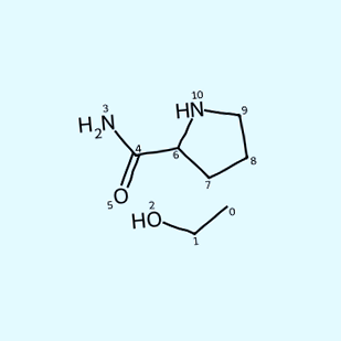 CCO.NC(=O)C1CCCN1